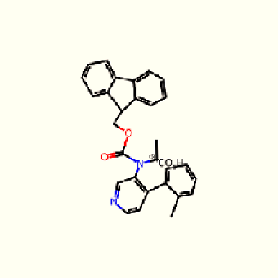 Cc1ccccc1-c1ccncc1N(C(=O)OCC1c2ccccc2-c2ccccc21)[C@@H](C)C(=O)O